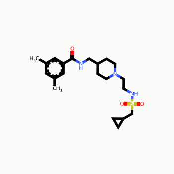 Cc1cc(C)cc(C(=O)NCC2CCN(CCNS(=O)(=O)CC3CC3)CC2)c1